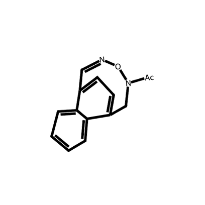 CC(=O)N1Cc2ccc(c3ccccc23)C=NO1